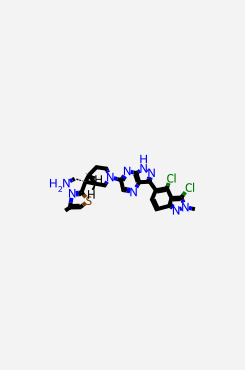 Cc1csc([C@@]2(CN)[C@@H]3CCN(c4cnc5c(-c6ccc7nn(C)c(Cl)c7c6Cl)n[nH]c5n4)C[C@@H]32)n1